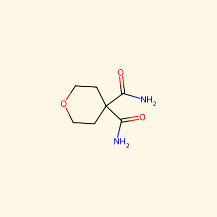 NC(=O)C1(C(N)=O)CCOCC1